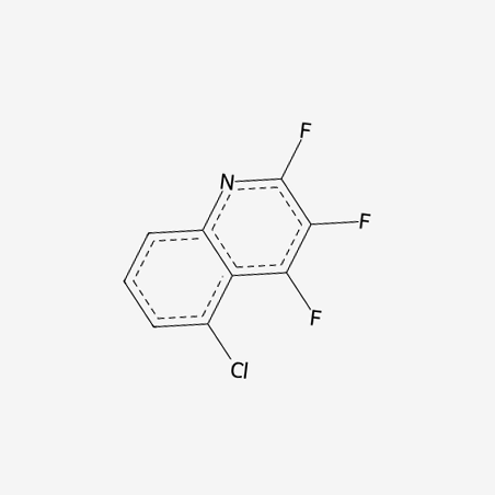 Fc1nc2cccc(Cl)c2c(F)c1F